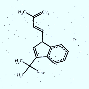 C=C(C)C=CC1C=C(C(C)(C)C)c2ccccc21.[Zr]